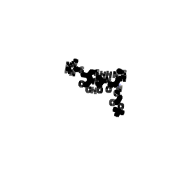 Cn1nnnc1SCC1=C(C(=O)O)N2C(=O)C(NC(=O)/C(=N\OCC(=O)OC(C)(C)C)c3ncsn3)[C@H]2SC1